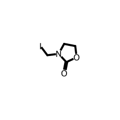 O=C1OCCN1CI